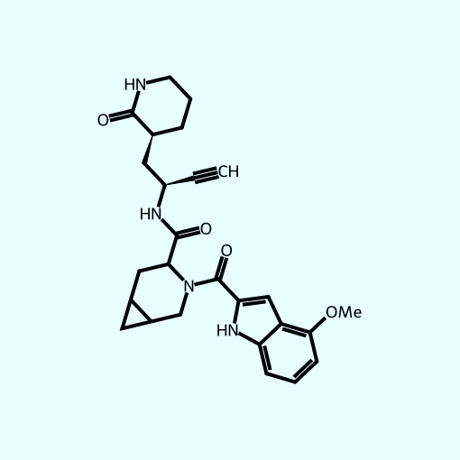 C#C[C@H](C[C@@H]1CCCNC1=O)NC(=O)C1CC2CC2CN1C(=O)c1cc2c(OC)cccc2[nH]1